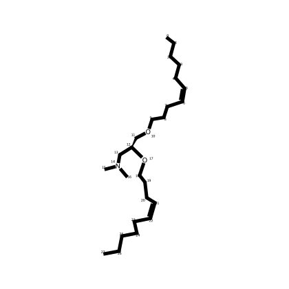 CCCCC/C=C\CCCOC[C@H](CN(C)C)OCCC/C=C\CCCCC